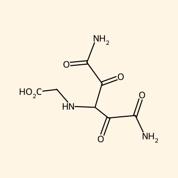 NC(=O)C(=O)C(NCC(=O)O)C(=O)C(N)=O